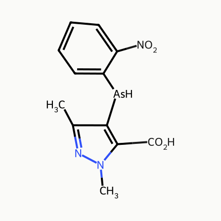 Cc1nn(C)c(C(=O)O)c1[AsH]c1ccccc1[N+](=O)[O-]